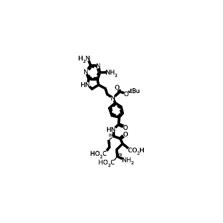 CC(C)(C)OC(=O)N(CCC1CNc2nc(N)nc(N)c21)c1ccc(C(=O)N[C@@H](CCC(=O)O)C(=O)C(C[C@H](N)C(=O)O)C(=O)O)cc1